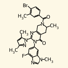 Cc1cc(C)n(-c2nc3c(c(=O)n2-c2cc(F)c4ncn(C)c4c2)CC(C)N(C(=O)c2ccc(Br)c(C)c2)C3)n1